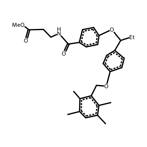 CCC(Oc1ccc(C(=O)NCCC(=O)OC)cc1)c1ccc(OCc2c(C)c(C)cc(C)c2C)cc1